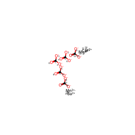 O=C([O-])[O-].O=C([O-])[O-].O=C([O-])[O-].O=C([O-])[O-].O=C([O-])[O-].[Ba+2].[Ca+2].[Mg+2].[Mn+2].[Sr+2]